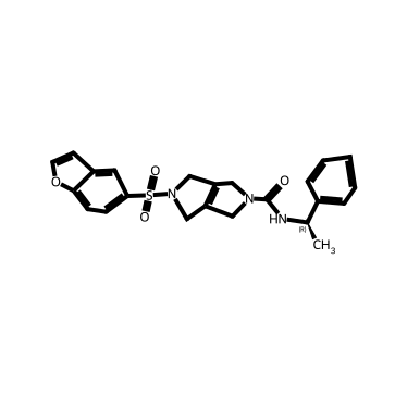 C[C@@H](NC(=O)N1CC2=C(C1)CN(S(=O)(=O)c1ccc3occc3c1)C2)c1ccccc1